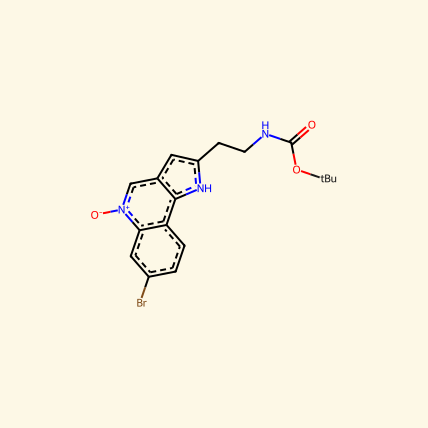 CC(C)(C)OC(=O)NCCc1cc2c[n+]([O-])c3cc(Br)ccc3c2[nH]1